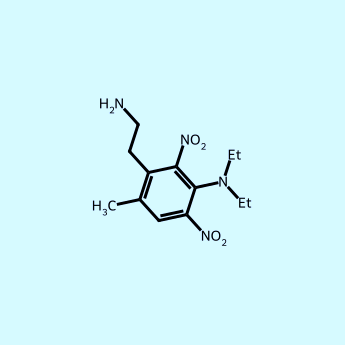 CCN(CC)c1c([N+](=O)[O-])cc(C)c(CCN)c1[N+](=O)[O-]